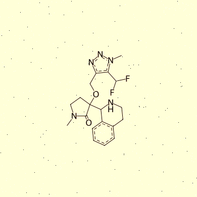 CN1CCC(OCc2nnn(C)c2C(F)F)(C2NCCc3ccccc32)C1=O